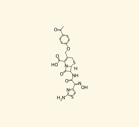 CC(=O)c1ccc(OCC2=C(C(=O)O)N3C(=O)C(NC(=O)C(=NO)c4csc(N)n4)[C@@H]3SC2)cc1